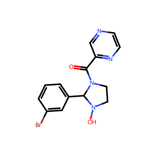 O=C(c1cnccn1)N1CCN(O)C1c1cccc(Br)c1